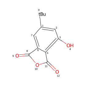 CC(C)(C)c1cc(O)c2c(c1)C(=O)OC2=O